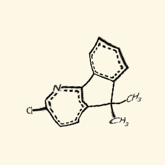 CC1(C)c2ccccc2-c2nc(Cl)ccc21